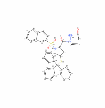 O=C1CC=CN(C(=O)C2CC(SC(c3ccccc3)(c3ccccc3)c3ccccc3)CN2S(=O)(=O)c2ccc3ccccc3c2)N1